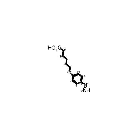 N=Nc1ccc(OCCCCCC(=O)O)cc1